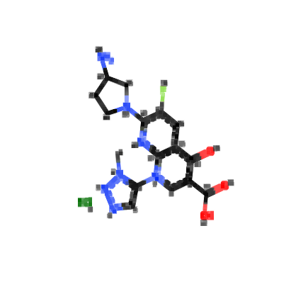 Cl.Cn1nncc1-n1cc(C(=O)O)c(=O)c2cc(F)c(N3CCC(N)C3)nc21